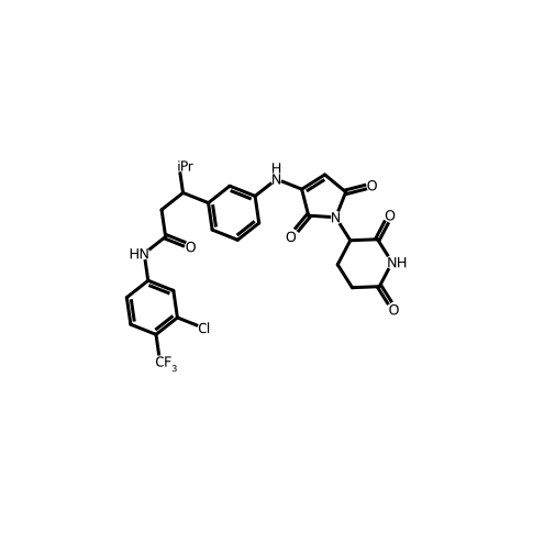 CC(C)C(CC(=O)Nc1ccc(C(F)(F)F)c(Cl)c1)c1cccc(NC2=CC(=O)N(C3CCC(=O)NC3=O)C2=O)c1